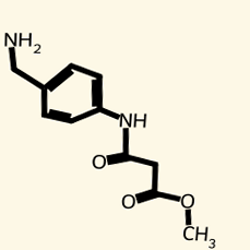 COC(=O)CC(=O)Nc1ccc(CN)cc1